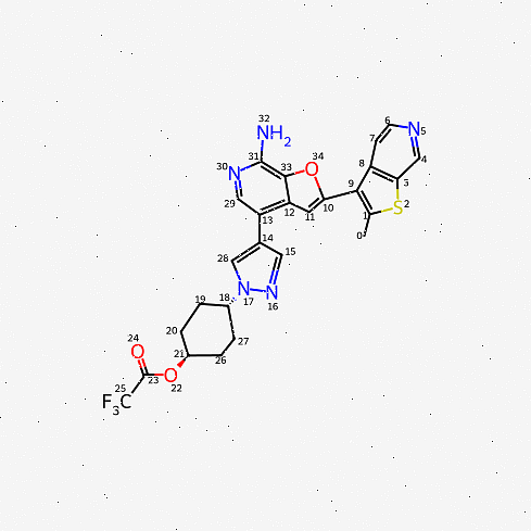 Cc1sc2cnccc2c1-c1cc2c(-c3cnn([C@H]4CC[C@H](OC(=O)C(F)(F)F)CC4)c3)cnc(N)c2o1